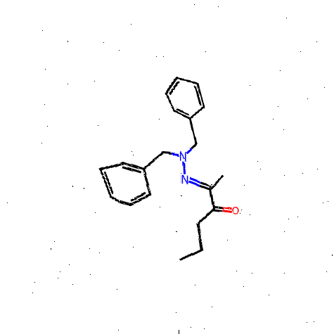 CCCC(=O)/C(C)=N/N(Cc1ccccc1)Cc1ccccc1